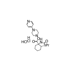 CCCC(=O)NC1(C(=O)ON2CCN(c3ccncc3)CC2)CCCCC1C.Cl.Cl